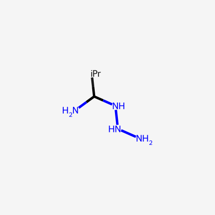 CC(C)C(N)NNN